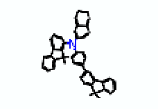 CC1(C)c2ccccc2-c2cc(-c3ccc(N(c4ccc5ccccc5c4)c4cccc5c4C(C)(C)c4ccccc4-5)cc3)ccc21